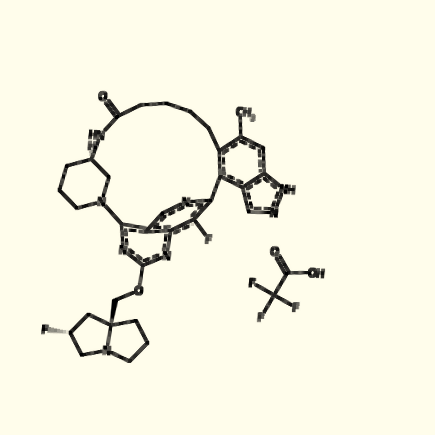 Cc1cc2[nH]ncc2c2c1CCCCC(=O)N[C@@H]1CCCN(C1)c1nc(OC[C@@]34CCCN3C[C@H](F)C4)nc3c(F)c-2ncc13.O=C(O)C(F)(F)F